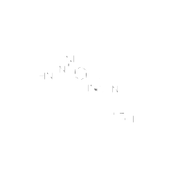 CC1CNCC(C)N1C(=N)c1ccc(C2CC(CN3CCC(CC(=O)O)CC3)ON2)cc1